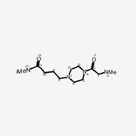 CNCC(=O)N1CCN(CCCC(=O)NC)CC1